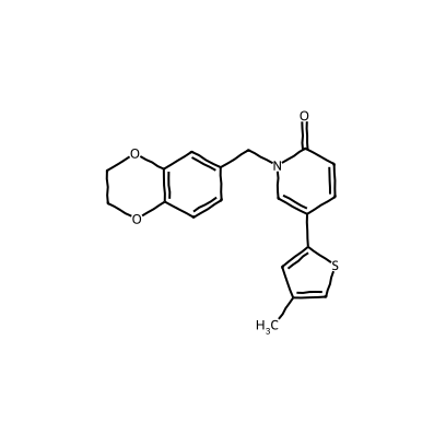 Cc1csc(-c2ccc(=O)n(Cc3ccc4c(c3)OCCO4)c2)c1